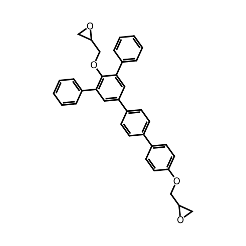 c1ccc(-c2cc(-c3ccc(-c4ccc(OCC5CO5)cc4)cc3)cc(-c3ccccc3)c2OCC2CO2)cc1